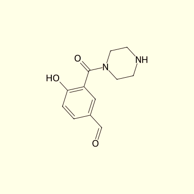 O=Cc1ccc(O)c(C(=O)N2CCNCC2)c1